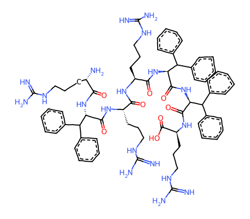 N=C(N)NCCC[C@H](NC(=O)[C@@H](NC(=O)[C@@H](NC(=O)[C@H](CCCNC(=N)N)NC(=O)[C@H](CCCNC(=N)N)NC(=O)[C@@H](NC(=O)[C@@H](N)CCCNC(=N)N)C(c1ccccc1)c1ccccc1)C(c1ccccc1)c1ccccc1)C(c1ccccc1)c1ccccc1)C(=O)O